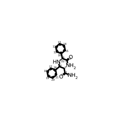 NC(=O)CC(N[C@H](C(N)=O)c1ccccc1)c1ccccc1